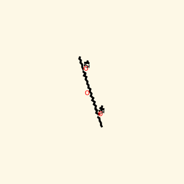 CCCCCC[C@H](CC=CCCCCCCCC(=O)CCCCCCCC=CC[C@@H](CCCCCC)O[Si](C)(C)C(C)(C)C)O[Si](C)(C)C(C)(C)C